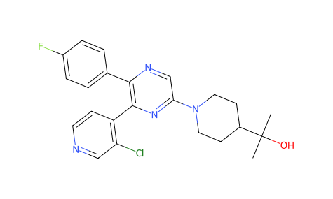 CC(C)(O)C1CCN(c2cnc(-c3ccc(F)cc3)c(-c3ccncc3Cl)n2)CC1